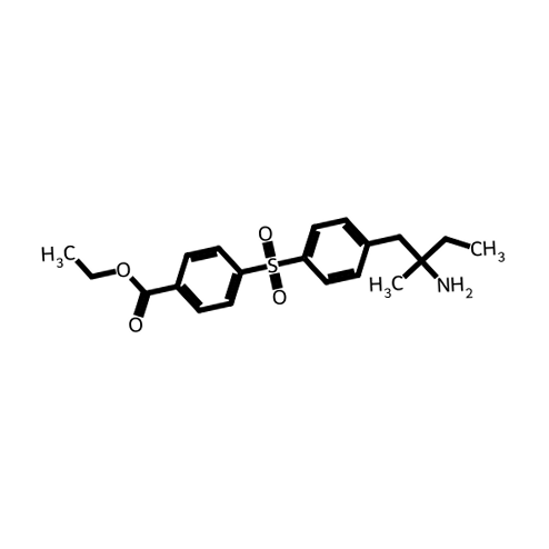 CCOC(=O)c1ccc(S(=O)(=O)c2ccc(CC(C)(N)CC)cc2)cc1